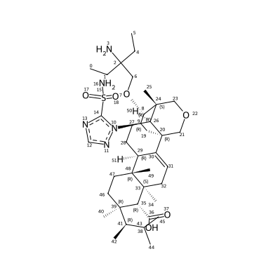 CCC(N)(CC)CO[C@H]1[C@H](n2ncnc2S(N)(=O)=O)C[C@@]23COC[C@]1(C)[C@@H]2CC[C@H]1C3=CC[C@@]2(C)[C@H](C(=O)O)[C@@](C)([C@H](C)C(C)C)CC[C@]12C